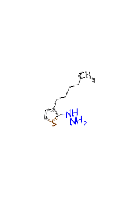 CCCCCc1ccsc1NN